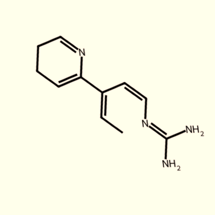 C/C=C(\C=C/N=C(N)N)C1=CCCC=N1